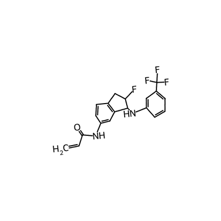 C=CC(=O)Nc1ccc2c(c1)C(Nc1cccc(C(F)(F)F)c1)C(F)C2